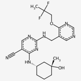 CC(F)(F)COc1ncncc1CNc1ncc(C#N)c(N[C@H]2CCC[C@@](C)(O)C2)n1